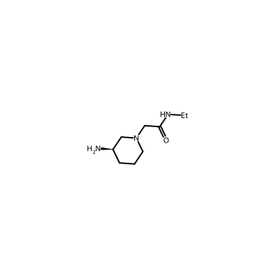 CCNC(=O)CN1CCC[C@@H](N)C1